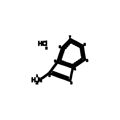 Cl.NC1=Cc2ccccc21